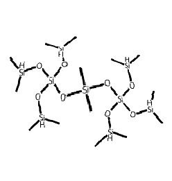 C[SiH](C)O[Si](O[SiH](C)C)(O[SiH](C)C)O[Si](C)(C)O[Si](O[SiH](C)C)(O[SiH](C)C)O[SiH](C)C